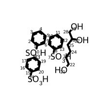 O=S(=O)(O)c1ccccc1.O=S(=O)(O)c1ccccc1.O=S(=O)(O)c1ccccc1.OCCCCC(O)CO